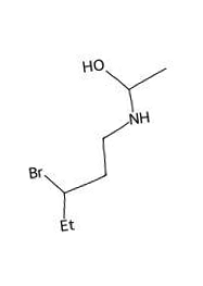 CCC(Br)CCNC(C)O